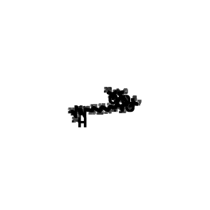 CCC1O[C@H](OC(C)C)C(C)C(CCCCCCCCNN=C(C)C)[C@@H]1OC(C)C